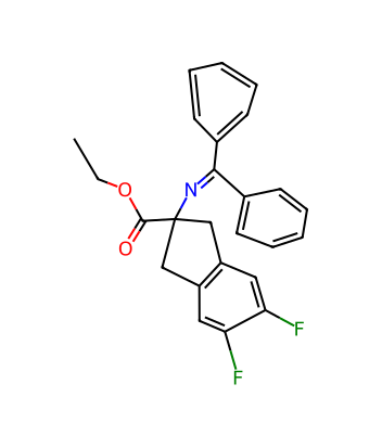 CCOC(=O)C1(N=C(c2ccccc2)c2ccccc2)Cc2cc(F)c(F)cc2C1